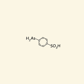 O=S(=O)(O)c1ccc([AsH2])cc1